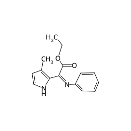 CCOC(=O)C(=Nc1ccccc1)c1[nH]ccc1C